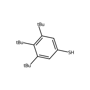 CC(C)(C)c1cc(S)cc(C(C)(C)C)c1C(C)(C)C